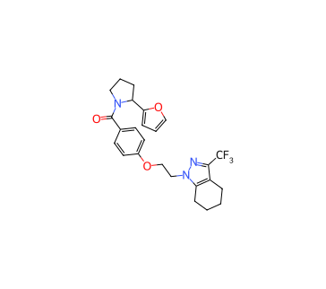 O=C(c1ccc(OCCn2nc(C(F)(F)F)c3c2CCCC3)cc1)N1CCCC1c1ccco1